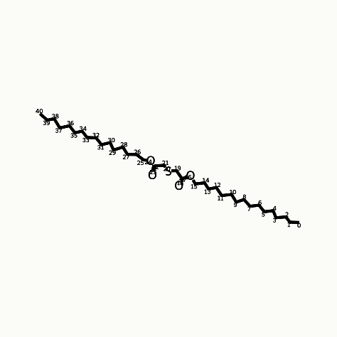 CCCCCCCCCCCCCCCCOC(=O)CSCC(=O)OCCCCCCCCCCCCCCCC